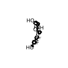 C[C@@H]1CN(c2ccc(C(C)(C)O)cc2F)CCN1c1cccc(C(=O)N[C@H]2C3CC4CC2C[C@](O)(C4)C3)n1